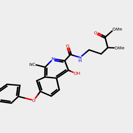 COC(=O)C(CCNC(=O)c1nc(C#N)c2cc(Oc3ccccc3)ccc2c1O)OC